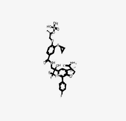 C[C@H](COc1ccc(C(=O)NCC(O)(c2cc3c(c(-c4ccc(F)cc4)n2)OC[C@]3(C)C(N)=O)C(F)(F)F)cc1OC1CC1)OP(=O)(O)O